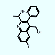 CC(N)c1nc2ccc(F)cc2c(CO)c1-c1ccccc1